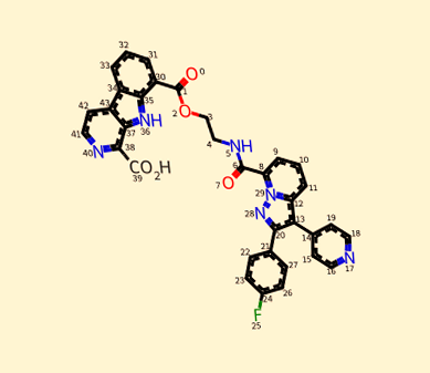 O=C(OCCNC(=O)c1cccc2c(-c3ccncc3)c(-c3ccc(F)cc3)nn12)c1cccc2c1[nH]c1c(C(=O)O)nccc12